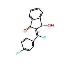 O=C1/C(=C(/F)c2ccc(F)cc2)C(O)c2ccccc21